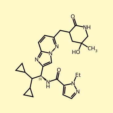 CCn1nccc1C(=O)N[C@H](c1cn2nc(CC3CC(C)(O)CNC3=O)ccc2n1)C(C1CC1)C1CC1